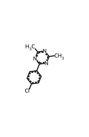 Cc1nc(C)nc(-c2ccc(Cl)cc2)n1